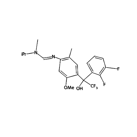 COc1cc(/N=C/N(C)C(C)C)c(C)cc1C(O)(c1cccc(F)c1F)C(F)(F)F